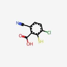 N#Cc1ccc(Cl)c(S)c1C(=O)O